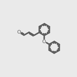 O=CC=Cc1ccccc1Oc1ccccc1